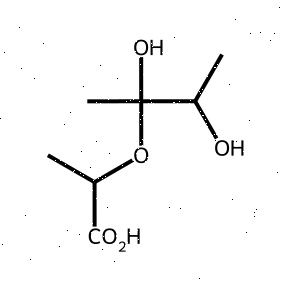 CC(OC(C)(O)C(C)O)C(=O)O